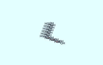 OCC(O)CO.OCC(O)CO.OCC(O)CO.OCC(O)CO.OCC(O)CO.OCC(O)CO.OCC(O)CO.OCC(O)CO.OCC(O)CO